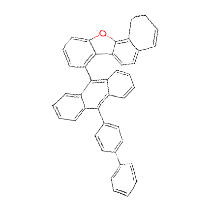 C1=Cc2ccc3c(oc4cccc(-c5c6ccccc6c(-c6ccc(-c7ccccc7)cc6)c6ccccc56)c43)c2CC1